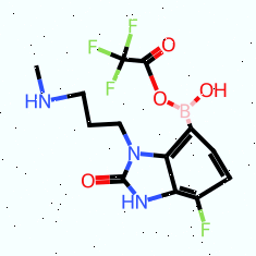 CNCCCn1c(=O)[nH]c2c(F)ccc(B(O)OC(=O)C(F)(F)F)c21